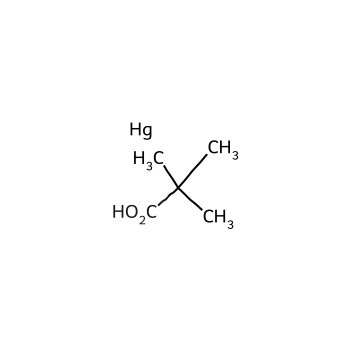 CC(C)(C)C(=O)O.[Hg]